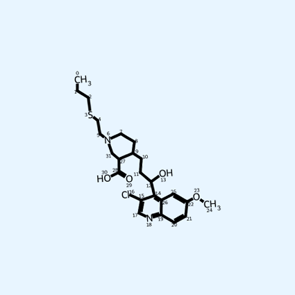 CCCSCCN1CCC(CCC(O)c2c(Cl)cnc3ccc(OC)cc23)C(C(=O)O)C1